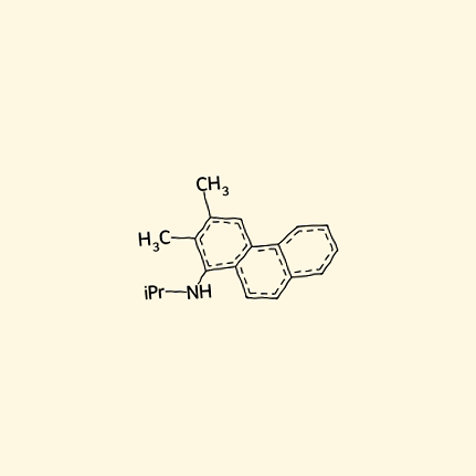 Cc1cc2c(ccc3ccccc32)c(NC(C)C)c1C